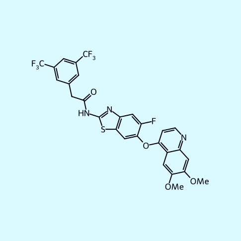 COc1cc2nccc(Oc3cc4sc(NC(=O)Cc5cc(C(F)(F)F)cc(C(F)(F)F)c5)nc4cc3F)c2cc1OC